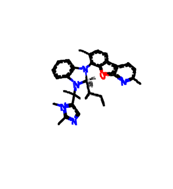 CCC(C)[C@]1(C)N(c2c(C)ccc3c2oc2nc(C)ccc23)c2ccccc2N1C(C)(C)c1cnc(C)n1C